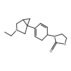 CCN1CC2CC2(C2=CCC(N3CCOC3=O)C=C2)C1